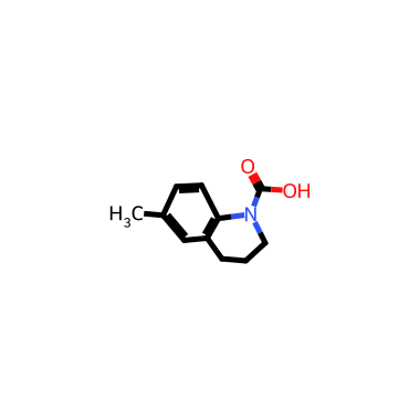 Cc1ccc2c(c1)CCCN2C(=O)O